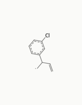 [CH2]C(C=C)c1cccc(Cl)c1